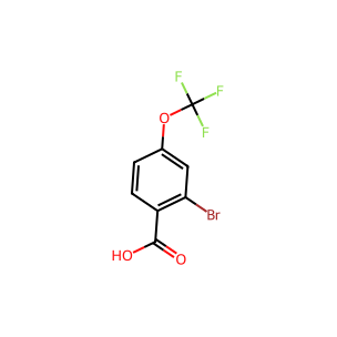 O=C(O)c1ccc(OC(F)(F)F)cc1Br